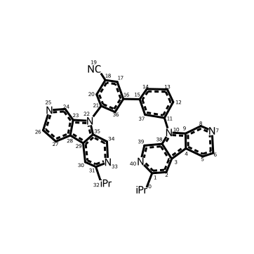 CC(C)c1cc2c3ccncc3n(-c3cccc(-c4cc(C#N)cc(-n5c6cnccc6c6cc(C(C)C)ncc65)c4)c3)c2cn1